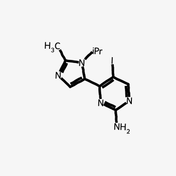 Cc1ncc(-c2nc(N)ncc2I)n1C(C)C